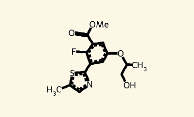 COC(=O)c1cc(OC(C)CO)cc(-c2ncc(C)s2)c1F